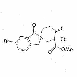 CCC1(C(=O)OC)CC2(CCC1=O)Cc1ccc(Br)cc1C2=O